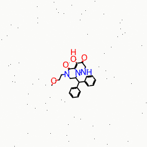 COCCN1CC(C(c2ccccc2)c2ccccc2)N2NCC(=O)C(O)=C2C1=O